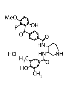 COc1ccc(O)c(C(=O)c2ccc(C(=O)N[C@@H]3CCCNC[C@H]3NC(=O)c3cc(C)c(O)c(C)c3)cc2)c1F.Cl